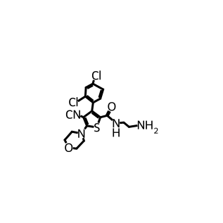 [C-]#[N+]c1c(N2CCOCC2)sc(C(=O)NCCN)c1-c1ccc(Cl)cc1Cl